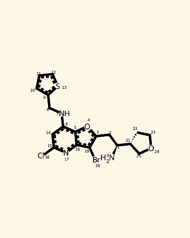 N[C@@H](Cc1oc2c(NCc3cccs3)cc(Cl)nc2c1Br)[C@@H]1CCOC1